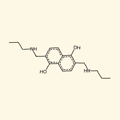 CCCNCc1ccc2c(O)c(CNCCC)ccc2c1O